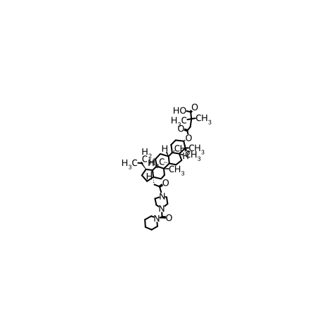 C=C(C)[C@@H]1CC[C@]2(CC(=O)N3CCN(C(=O)N4CCCCC4)CC3)CC[C@]3(C)[C@H](CC[C@@H]4[C@@]5(C)CC[C@H](OC(=O)CC(C)(C)C(=O)O)C(C)(C)[C@@H]5CC[C@]43C)[C@@H]12